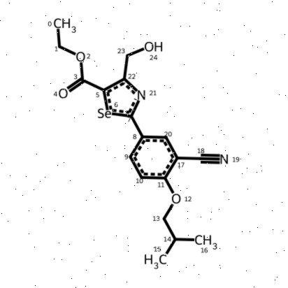 CCOC(=O)c1[se]c(-c2ccc(OCC(C)C)c(C#N)c2)nc1CO